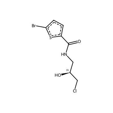 O=C(NC[C@H](O)CCl)c1ccc(Br)s1